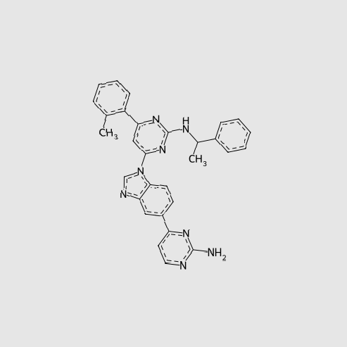 Cc1ccccc1-c1cc(-n2cnc3cc(-c4ccnc(N)n4)ccc32)nc(NC(C)c2ccccc2)n1